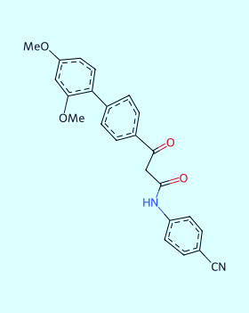 COc1ccc(-c2ccc(C(=O)CC(=O)Nc3ccc(C#N)cc3)cc2)c(OC)c1